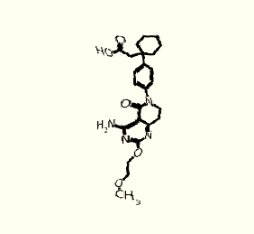 COCCOc1nc(N)c2c(n1)CCN(c1ccc(C3(CC(=O)O)CCCCC3)cc1)C2=O